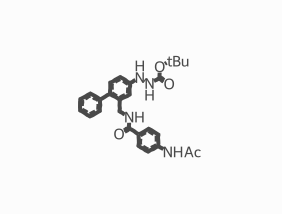 CC(=O)Nc1ccc(C(=O)NCc2cc(NNC(=O)OC(C)(C)C)ccc2-c2ccccc2)cc1